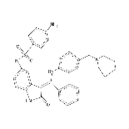 Nc1ccc(S(=O)(=O)Nc2ccc3c(c2)C(=C(Nc2ccc(CN4CCCCC4)cc2)c2ccccc2)C(=O)N3)cc1